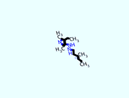 CC/C=C(\C)CCNNC1=C(CC)C(C)N=C1C